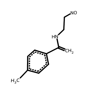 C=C(NCCN=O)c1ccc(C)cc1